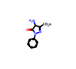 NC1C(=O)N(c2ccccc2)N=C1C(=O)O